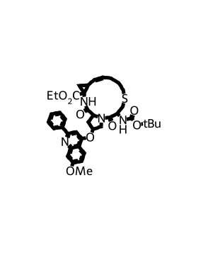 CCOC(=O)C12CC1/C=C\CCCSCC(NC(=O)OC(C)(C)C)C(=O)N1CC(Oc3cc(-c4ccccc4)nc4cc(OC)ccc34)CC1C(=O)N2